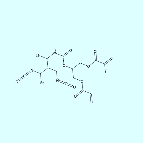 C=CC(=O)OCC(COC(=O)C(=C)C)OC(=O)NC(CC)C(CN=C=O)C(CC)N=C=O